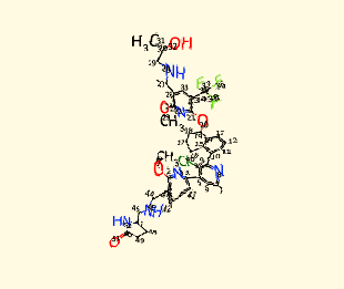 COc1nc(-c2ccnc(-c3cccc4c3CCC[C@@H]4Oc3nc(OC)c(CNC[C@H](C)O)cc3C(F)(F)F)c2Cl)ccc1CNC[C@H]1CCC(=O)N1